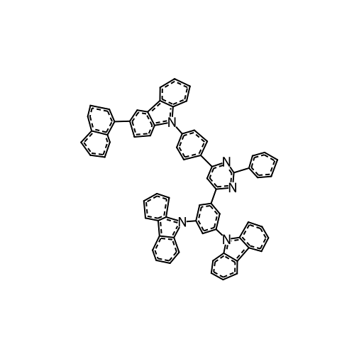 c1ccc(-c2nc(-c3ccc(-n4c5ccccc5c5cc(-c6cccc7ccccc67)ccc54)cc3)cc(-c3cc(-n4c5ccccc5c5ccccc54)cc(-n4c5ccccc5c5ccccc54)c3)n2)cc1